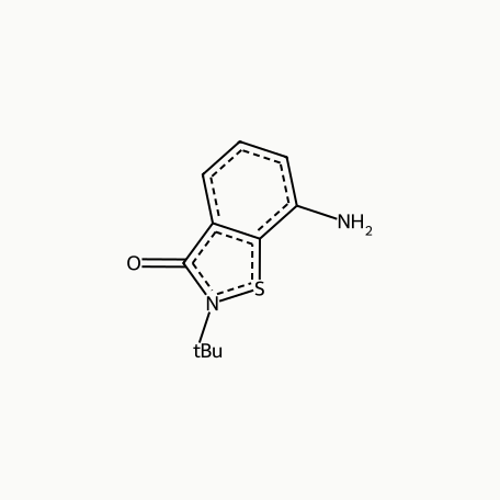 CC(C)(C)n1sc2c(N)cccc2c1=O